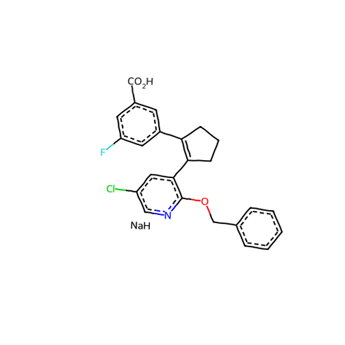 O=C(O)c1cc(F)cc(C2=C(c3cc(Cl)cnc3OCc3ccccc3)CCC2)c1.[NaH]